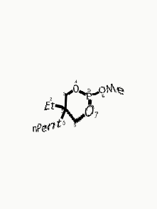 CCCCCC1(CC)COP(OC)OC1